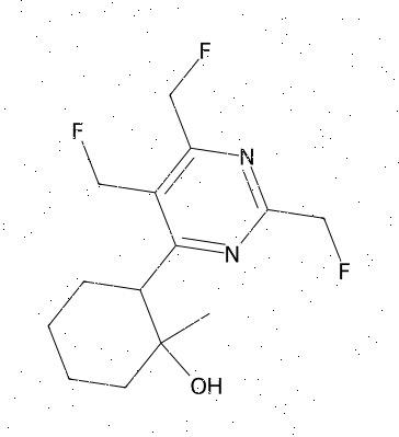 CC1(O)CCCCC1c1nc(CF)nc(CF)c1CF